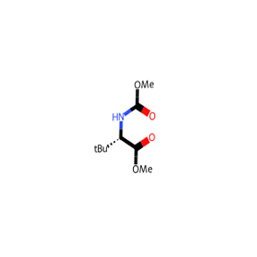 COC(=O)N[C@H](C(=O)OC)C(C)(C)C